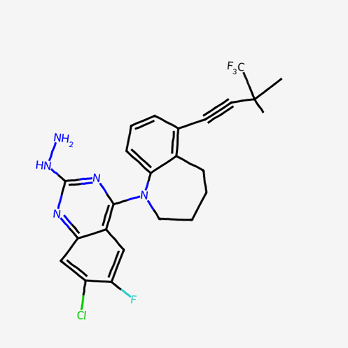 CC(C)(C#Cc1cccc2c1CCCCN2c1nc(NN)nc2cc(Cl)c(F)cc12)C(F)(F)F